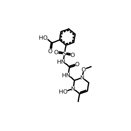 CON1CC=C(C)N(O)C1NC(=O)NS(=O)(=O)c1ccccc1C(=O)O